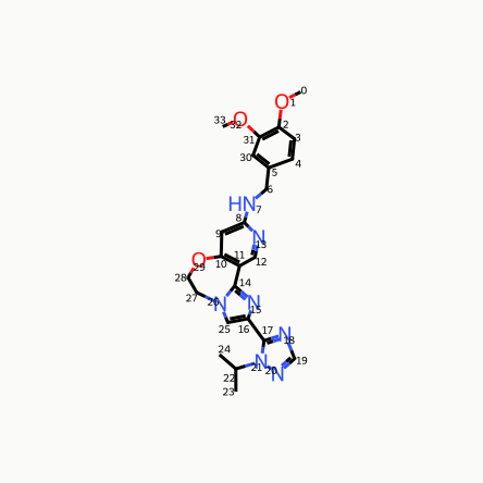 COc1ccc(CNc2cc3c(cn2)-c2nc(-c4ncnn4C(C)C)cn2CCO3)cc1OC